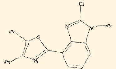 CC(C)c1nc(-c2cccc3c2nc(Cl)n3C(C)C)sc1C(C)C